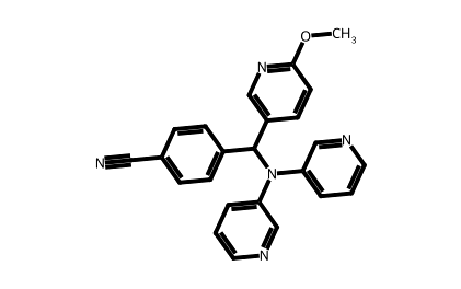 COc1ccc(C(c2ccc(C#N)cc2)N(c2cccnc2)c2cccnc2)cn1